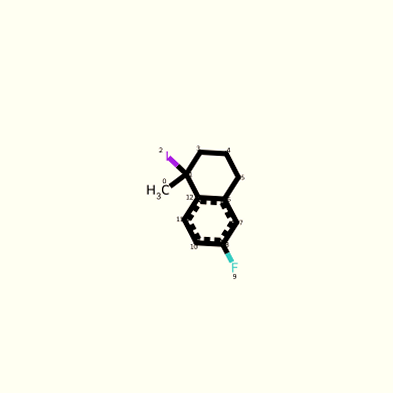 CC1(I)CCCc2cc(F)ccc21